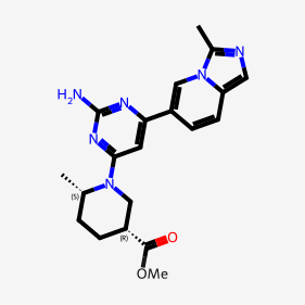 COC(=O)[C@@H]1CC[C@H](C)N(c2cc(-c3ccc4cnc(C)n4c3)nc(N)n2)C1